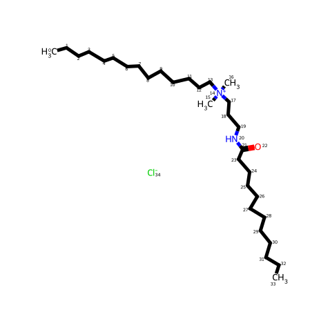 CCCCCCCCCCCCCC[N+](C)(C)CCCNC(=O)CCCCCCCCCCC.[Cl-]